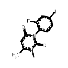 Cn1c(C(F)(F)F)cc(=O)n(-c2ccc(I)cc2F)c1=O